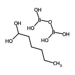 CCCCCC(O)O.OB(O)OB(O)O